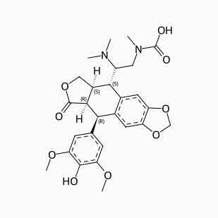 COc1cc([C@@H]2c3cc4c(cc3[C@@H](C(CN(C)C(=O)O)N(C)C)[C@@H]3COC(=O)[C@H]23)OCO4)cc(OC)c1O